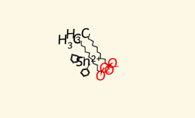 CCCCCCCCCCCC(=O)[O-].CCCCCCCCCCCC(=O)[O-].c1ccc([CH2][Sn+2][CH2]c2ccccc2)cc1